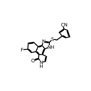 N#Cc1cccc(CSc2nc3c4ccc(F)cc4c4c(=O)[nH]ccc4c3[nH]2)c1